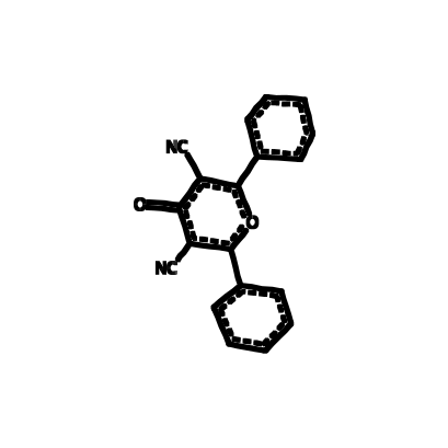 N#Cc1c(-c2ccccc2)oc(-c2ccccc2)c(C#N)c1=O